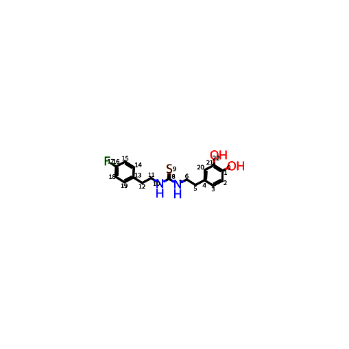 Oc1ccc(CCNC(=S)NCCc2ccc(F)cc2)cc1O